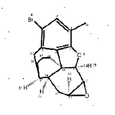 Cc1cc(Br)c2c3c1O[C@H]1C4O[C@H]4C[C@H]4[C@H](CCC[C@]314)C2